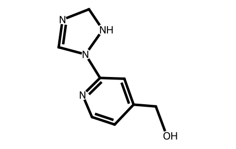 OCc1ccnc(N2C=NCN2)c1